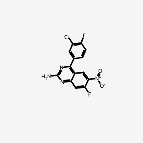 Nc1nc(-c2ccc(F)c(Cl)c2)c2cc([N+](=O)[O-])c(F)cc2n1